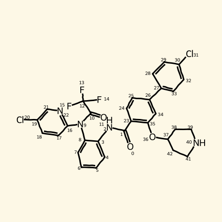 O=C(Nc1ccccc1N(C(=O)C(F)(F)F)c1ccc(Cl)cn1)c1ccc(-c2ccc(Cl)cc2)cc1OC1CCNCC1